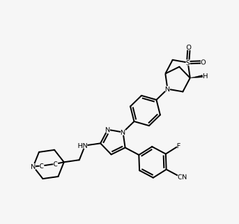 N#Cc1ccc(-c2cc(NCC34CCN(CC3)CC4)nn2-c2ccc(N3C[C@@H]4CC3CS4(=O)=O)cc2)cc1F